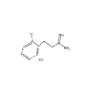 Cl.N=C(N)CCc1ccccc1Cl